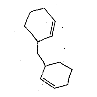 C1=CC(CC2C=CCCC2)CCC1